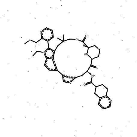 CCn1c(-c2cccnc2[C@H](C)OC)c2c3cc(ccc31)-c1csc(n1)C[C@H](NC(=O)C1CCc3ncccc3C1)C(=O)N1CCC[C@H](N1)C(=O)OCC(C)(C)C2